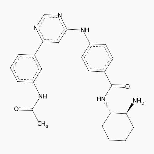 CC(=O)Nc1cccc(-c2cc(Nc3ccc(C(=O)N[C@H]4CCCC[C@@H]4N)cc3)ncn2)c1